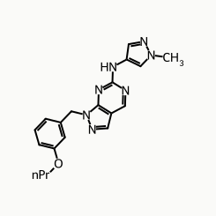 CCCOc1cccc(Cn2ncc3cnc(Nc4cnn(C)c4)nc32)c1